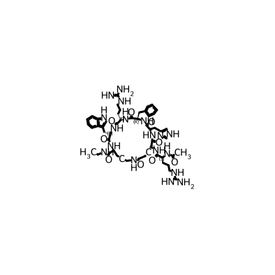 CCNC(=O)C1CCCNC(=O)CC[C@H](NC(=O)[C@H](CCCNC(=N)N)NC(C)=O)C(=O)NC(Cc2c[nH]cn2)C(=O)N[C@H](Cc2ccccc2)C(=O)N[C@@H](CCCNC(=N)N)C(=O)N[C@@H](Cc2c[nH]c3ccccc23)C(=O)N1